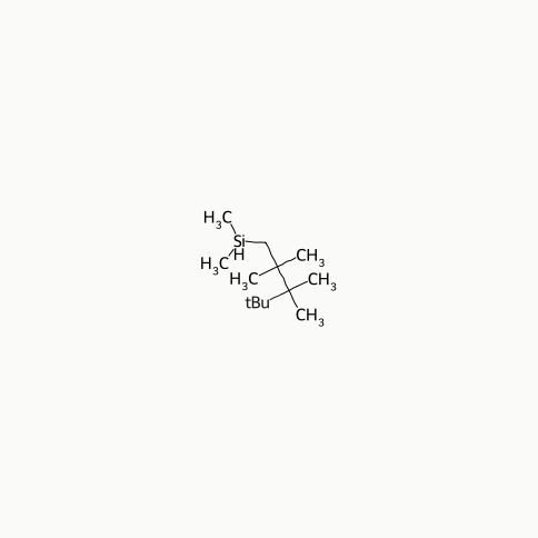 C[SiH](C)CC(C)(C)C(C)(C)C(C)(C)C